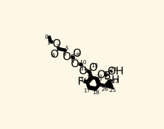 CCOC(=O)COC(=O)OCOC(=O)c1c(F)ccc2c1OB(O)[C@@H]1CC21